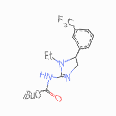 CCN1C(NC(=O)OCC(C)C)=NCC1c1cccc(C(F)(F)F)c1